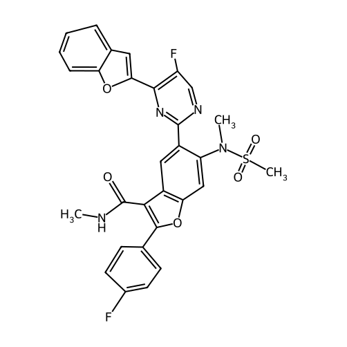 CNC(=O)c1c(-c2ccc(F)cc2)oc2cc(N(C)S(C)(=O)=O)c(-c3ncc(F)c(-c4cc5ccccc5o4)n3)cc12